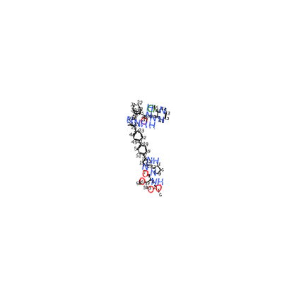 COC(=O)N[C@H](C(=O)N1CCC[C@H]1c1ncc(-c2ccc(-c3ccc(-c4cnc(C5C6CCC(C6)[C@@H]5C(=O)NNc5nccnc5Cl)[nH]4)cc3)cc2)[nH]1)[C@@H](C)OC